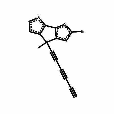 C#CC#CC#CC1(C)c2ccsc2-c2sc(Br)cc21